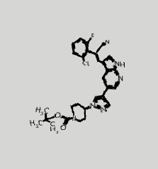 CC(C)(C)OC(=O)N1CCC(n2cc(-c3cnc4[nH]cc(C=C(C#N)c5c(F)cccc5Cl)c4c3)cn2)CC1